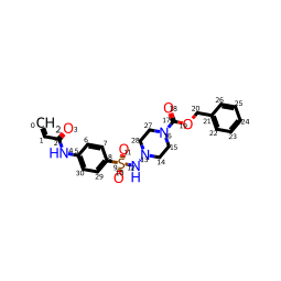 C=CC(=O)Nc1ccc(S(=O)(=O)NN2CCN(C(=O)OCc3ccccc3)CC2)cc1